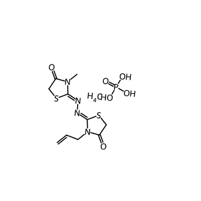 C.C=CCN1C(=O)CSC1=NN=C1SCC(=O)N1C.O=P(O)(O)O